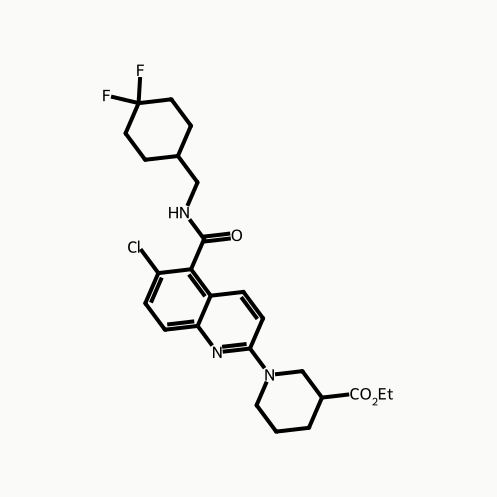 CCOC(=O)C1CCCN(c2ccc3c(C(=O)NCC4CCC(F)(F)CC4)c(Cl)ccc3n2)C1